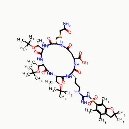 Cc1c(C)c(S(=O)(=O)NC(=N)NCCC[C@@H]2NC(=O)[C@H]([C@@H](C)OC(C)(C)C)NC(=O)[C@H]([C@@H](C)OC(C)(C)C)NC(=O)[C@H]([C@@H](C)OC(C)(C)C)NC(=O)[C@H](CSCC(N)=O)NC(=O)C[C@@H](C(=O)O)NC2=O)c(C)c2c1CC(C)(C)O2